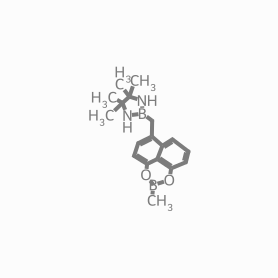 CB1Oc2cccc3c(CB4NC(C)(C)C(C)(C)N4)ccc(c23)O1